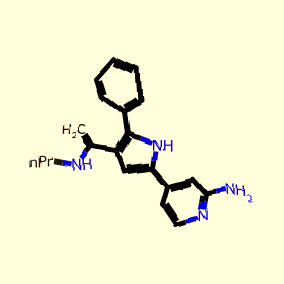 C=C(NCCC)c1cc(-c2ccnc(N)c2)[nH]c1-c1ccccc1